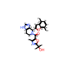 Cc1nc(C(C)(C)O)oc1C(=O)N1CCc2[nH]cnc2[C@H]1c1cc2c(C)ccc(C)c2o1